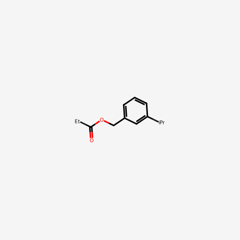 CCC(=O)OCc1cccc(C(C)C)c1